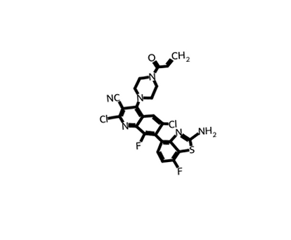 C=CC(=O)N1CCN(c2c(C#N)c(Cl)nc3c(F)c(-c4ccc(F)c5sc(N)nc45)c(Cl)cc23)CC1